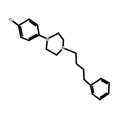 [O]c1ccc(N2CCN(CCCCc3ccccc3)CC2)cc1